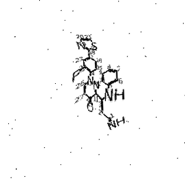 N=C/C=C(\Nc1ccccc1)c1nn(-c2ccc(-c3nccs3)cc2F)ccc1=O